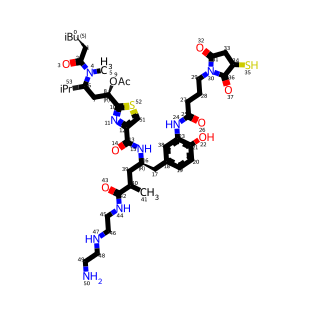 CC[C@H](C)CC(=O)N(C)C(C[C@@H](OC(C)=O)c1nc(C(=O)N[C@@H](Cc2ccc(O)c(NC(=O)CCCN3C(=O)CC(S)C3=O)c2)CC(C)C(=O)NCCNCCN)cs1)C(C)C